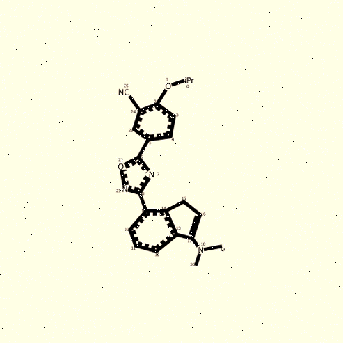 CC(C)Oc1ccc(-c2nc(-c3cccc4c3CC=C4N(C)C)no2)cc1C#N